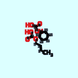 CC=CCOC(=O)O.O=C(O)O.c1ccccc1